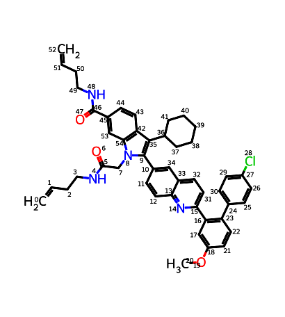 C=CCCNC(=O)Cn1c(-c2ccc3nc(-c4cc(OC)ccc4-c4ccc(Cl)cc4)ccc3c2)c(C2CCCCC2)c2ccc(C(=O)NCCC=C)cc21